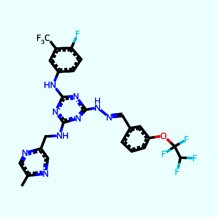 Cc1cnc(CNc2nc(N/N=C/c3cccc(OC(F)(F)C(F)F)c3)nc(Nc3ccc(F)c(C(F)(F)F)c3)n2)cn1